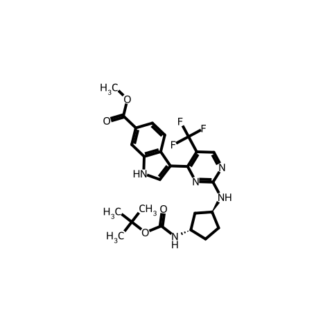 COC(=O)c1ccc2c(-c3nc(N[C@H]4CC[C@H](NC(=O)OC(C)(C)C)C4)ncc3C(F)(F)F)c[nH]c2c1